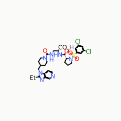 CCc1nc2cnccc2n1CC1CCN(C(=O)NC[C@H](NC(=O)[C@H]2CCCN2S(=O)(=O)c2cc(Cl)cc(Cl)c2)C(=O)O)CC1